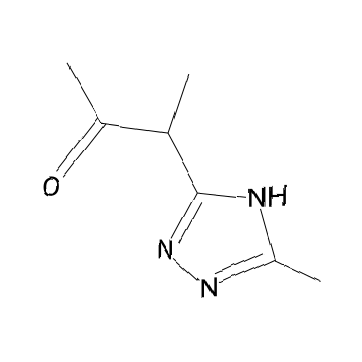 CC(=O)C(C)c1nnc(C)[nH]1